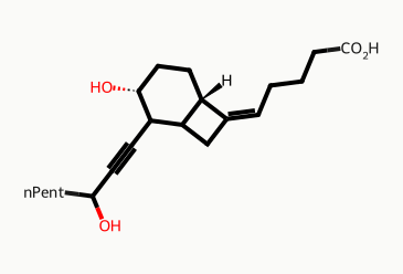 CCCCCC(O)C#CC1C2C/C(=C/CCCC(=O)O)[C@H]2CC[C@H]1O